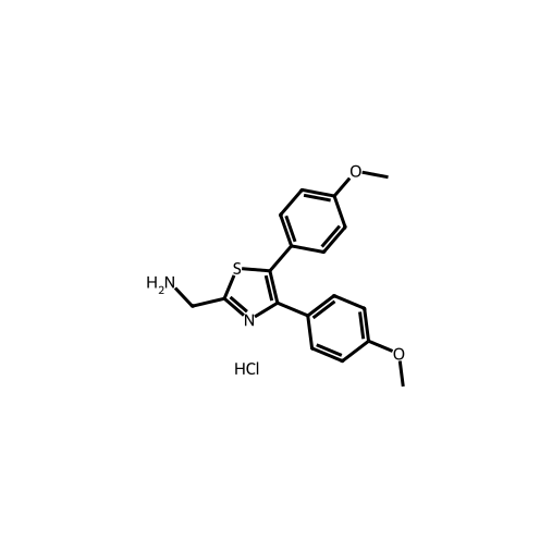 COc1ccc(-c2nc(CN)sc2-c2ccc(OC)cc2)cc1.Cl